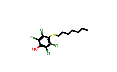 CCCCCCCSc1c(Cl)c(Cl)c(O)c(Cl)c1Cl